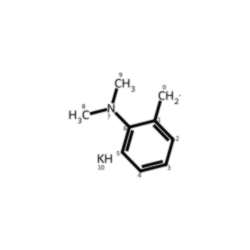 [CH2]c1ccccc1N(C)C.[KH]